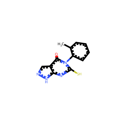 Cc1ccccc1-n1c(S)nc2[nH]ncc2c1=O